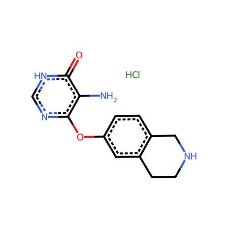 Cl.Nc1c(Oc2ccc3c(c2)CCNC3)nc[nH]c1=O